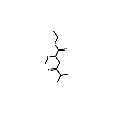 CCOC(=O)C(CC(=O)[C](C)C)OC